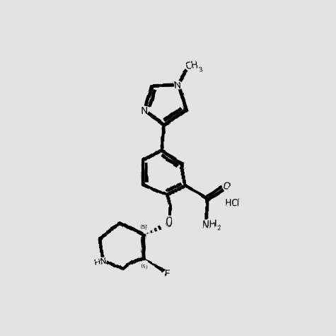 Cl.Cn1cnc(-c2ccc(O[C@H]3CCNC[C@@H]3F)c(C(N)=O)c2)c1